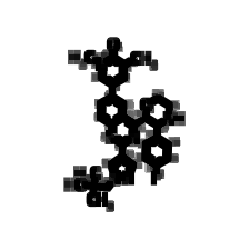 Cc1cc(-c2ccc3nc(-c4cnn(CC(C)(C)O)c4)nc([C@H]4OCCNC4c4ccc(F)cc4)c3c2)cn(C)c1=O